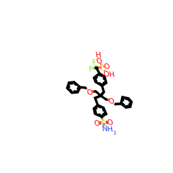 NS(=O)(=O)c1ccc(CC(COCc2ccccc2)(COCc2ccccc2)Cc2ccc(C(F)(F)P(=O)(O)O)cc2)cc1